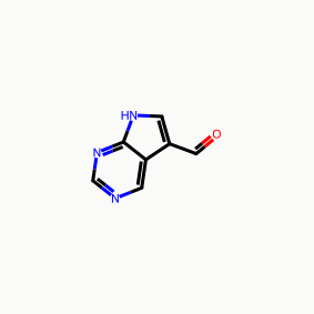 O=Cc1c[nH]c2ncncc12